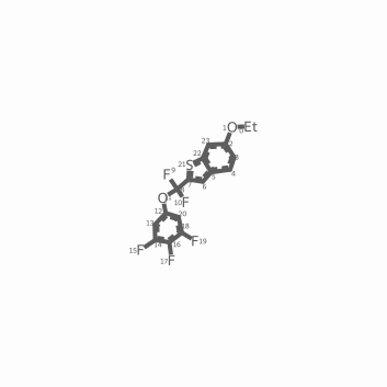 CCOc1ccc2cc(C(F)(F)Oc3cc(F)c(F)c(F)c3)sc2c1